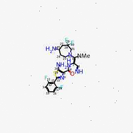 CN/C(=C(\C=N)NC(=O)c1nc(-c2c(F)cccc2F)sc1N)N1CC[C@@H](N)CC(F)(F)C1